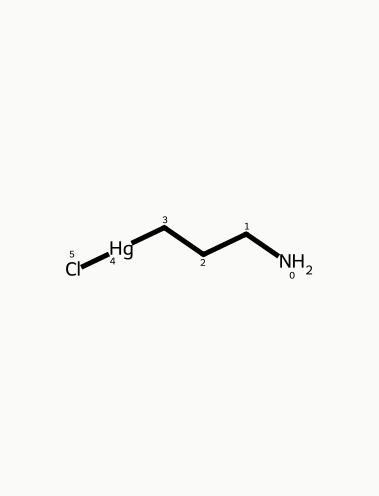 NCC[CH2][Hg][Cl]